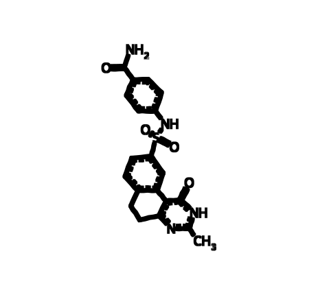 Cc1nc2c(c(=O)[nH]1)-c1cc(S(=O)(=O)Nc3ccc(C(N)=O)cc3)ccc1CC2